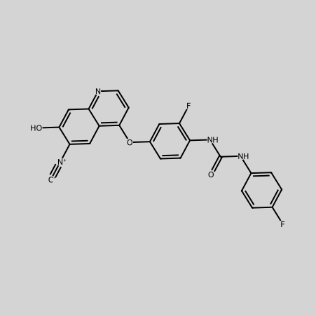 [C-]#[N+]c1cc2c(Oc3ccc(NC(=O)Nc4ccc(F)cc4)c(F)c3)ccnc2cc1O